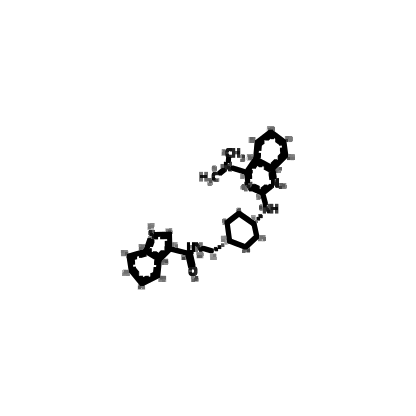 CN(C)c1nc(N[C@H]2CC[C@@H](CNC(=O)c3csc4ccccc34)CC2)nc2ccccc12